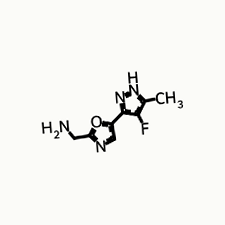 Cc1[nH]nc(-c2cnc(CN)o2)c1F